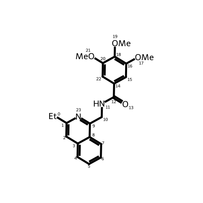 CCc1cc2ccccc2c(CNC(=O)c2cc(OC)c(OC)c(OC)c2)n1